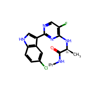 CC(C)NC(=O)[C@H](C)Nc1nc(-c2c[nH]c3ccc(Cl)cc23)ncc1F